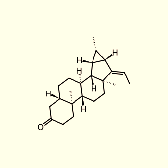 C/C=C1/[C@H]2[C@@H](C)[C@H]2[C@H]2[C@@H]3CC[C@H]4CC(=O)CC[C@]4(C)[C@H]3CC[C@]12C